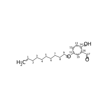 C=CCCCCCCCCOc1ccc(O)c(C=O)c1